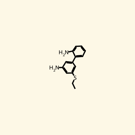 CCSc1cc(N)cc(-c2ccccc2N)c1